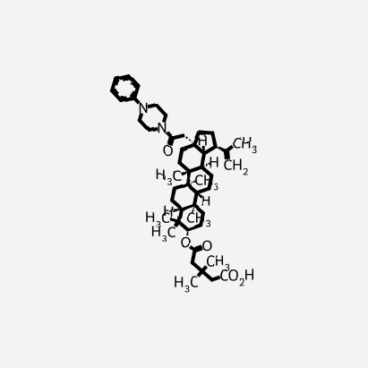 C=C(C)[C@@H]1CC[C@]2(CC(=O)N3CCN(c4ccccc4)CC3)CC[C@]3(C)[C@H](CC[C@@H]4[C@@]5(C)CC[C@H](OC(=O)CC(C)(C)CC(=O)O)C(C)(C)[C@@H]5CC[C@]43C)[C@@H]12